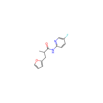 CC(Cc1ccco1)C(=O)Nc1ccc(F)cn1